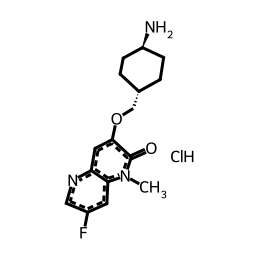 Cl.Cn1c(=O)c(OC[C@H]2CC[C@H](N)CC2)cc2ncc(F)cc21